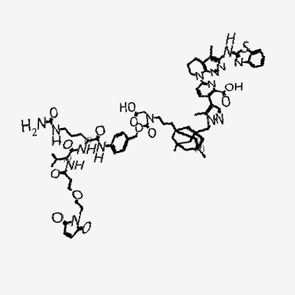 Cc1c(Nc2nc3ccccc3s2)nnc2c1CCCN2c1ccc(-c2cnn(CC34CC5(C)CC(CCCN(CC(=O)O)C(=O)OCc6ccc(NC(=O)[C@H](CCCNC(N)=O)NC(=O)[C@@H](NC(=O)CCOCCN7C(=O)C=CC7=O)C(C)C)cc6)(C3)C[C@@](C)(C5)C4)c2C)c(C(=O)O)n1